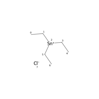 C[CH2][Sn+]([CH2]C)[CH2]C.[Cl-]